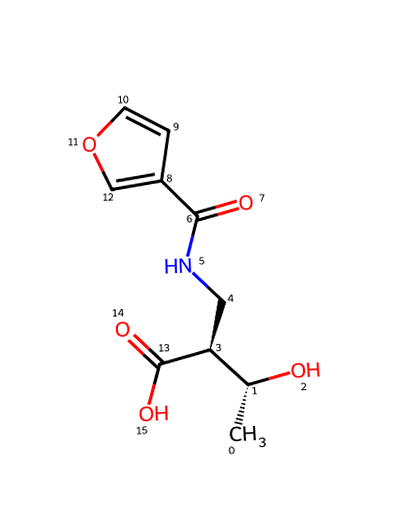 C[C@@H](O)[C@H](CNC(=O)c1ccoc1)C(=O)O